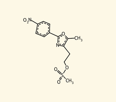 Cc1oc(-c2ccc([N+](=O)[O-])cc2)nc1CCOS(C)(=O)=O